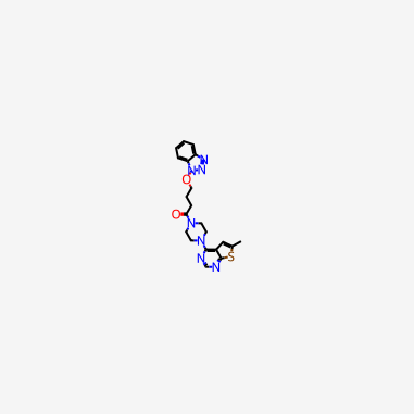 Cc1cc2c(N3CCN(C(=O)CCCOn4nnc5ccccc54)CC3)ncnc2s1